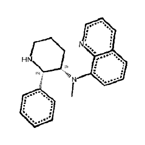 CN(c1cccc2cccnc12)[C@H]1CCCN[C@H]1c1ccccc1